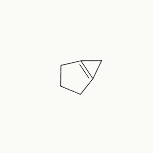 C1CC2=C(C1)C2